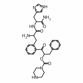 NC(=O)C(Cc1c[nH]cn1)NC(=O)C(N)Cc1ccccc1C(=O)C(Cc1ccccc1)OC(=O)N1CCNCC1